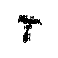 COC1(C(=O)N[C@@H](C)c2ccc(-n3cc(F)cn3)nc2)CCN(c2nc(CCCCC(=O)NCCCCCCCCCCNc3cccc(C4CCC(=O)NC4=O)c3)cc(Nc3cc(C)[nH]n3)n2)CC1